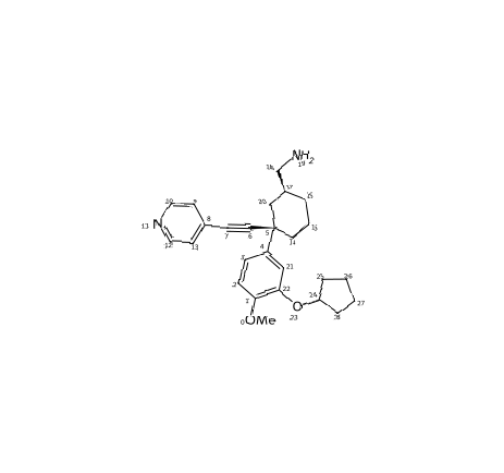 COc1ccc([C@@]2(C#Cc3ccncc3)CCC[C@H](CN)C2)cc1OC1CCCC1